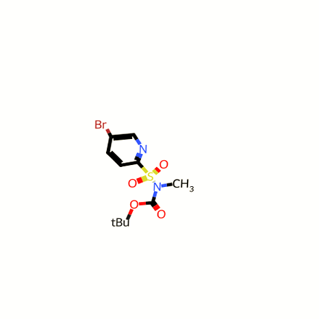 CN(C(=O)OC(C)(C)C)S(=O)(=O)c1ccc(Br)cn1